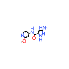 CNc1cc(C(=O)Nc2ccnc(OC)c2)[nH]n1